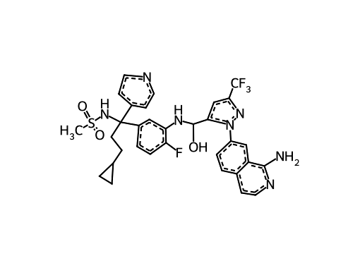 CS(=O)(=O)NC(CCC1CC1)(c1ccncc1)c1ccc(F)c(NC(O)c2cc(C(F)(F)F)nn2-c2ccc3ccnc(N)c3c2)c1